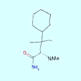 CN[C@H](C(N)=O)C(C)(C)C1CCCCC1